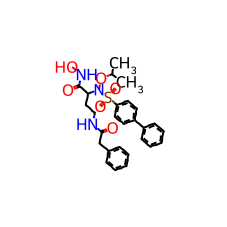 CC(C)ON(C(CCNC(=O)Cc1ccccc1)C(=O)NO)S(=O)(=O)c1ccc(-c2ccccc2)cc1